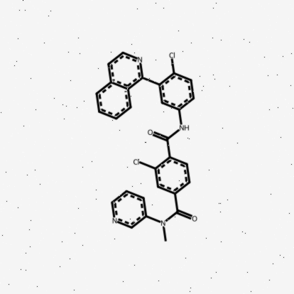 CN(C(=O)c1ccc(C(=O)Nc2ccc(Cl)c(-c3nccc4ccccc34)c2)c(Cl)c1)c1cccnc1